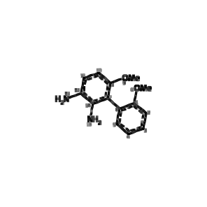 COc1ccccc1-c1c(OC)ccc(N)c1N